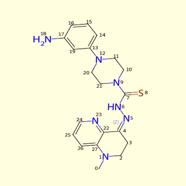 CN1CC/C(=N/NC(=S)N2CCN(c3cccc(N)c3)CC2)c2ncccc21